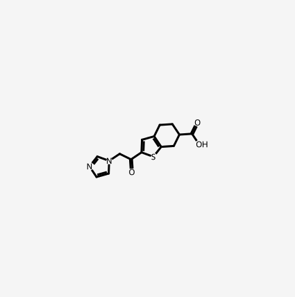 O=C(Cn1ccnc1)c1cc2c(s1)CC(C(=O)O)CC2